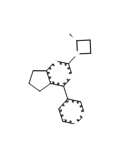 C[C@H]1CCN1c1nc2c(c(-c3ccnnc3)n1)CCC2